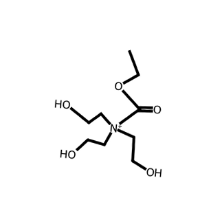 CCOC(=O)[N+](CCO)(CCO)CCO